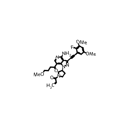 C=CC(=O)N1CC[C@H](n2nc(C#Cc3cc(OC)cc(OC)c3F)c3c(N)ncc(C(=O)CCCOC)c32)C1